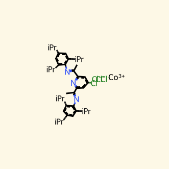 CC(=Nc1c(C(C)C)cc(C(C)C)cc1C(C)C)c1cc(Cl)cc(C(C)=Nc2c(C(C)C)cc(C(C)C)cc2C(C)C)n1.[Cl-].[Cl-].[Cl-].[Co+3]